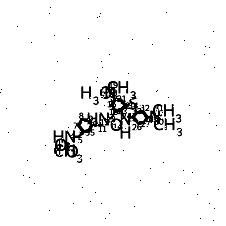 COC(=O)NCc1cccc(CNC(=O)c2cc(N(C)C)cc3c2Nc2ccc(N(C)C)cc2S3)c1